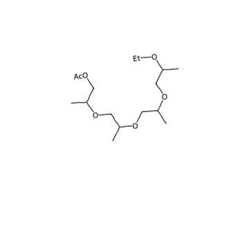 CCOC(C)COC(C)COC(C)COC(C)COC(C)=O